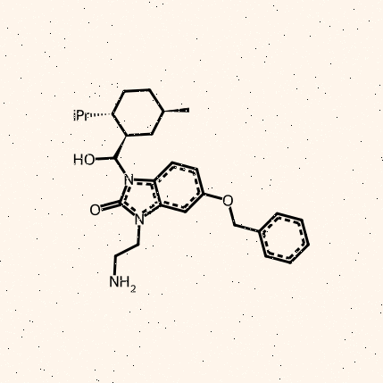 CC(C)[C@@H]1CC[C@@H](C)C[C@H]1C(O)n1c(=O)n(CCN)c2cc(OCc3ccccc3)ccc21